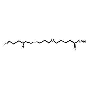 CNC(=O)CCCCOCCCOCCNCCCC(C)C